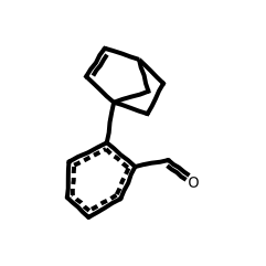 O=Cc1ccccc1C12C=CC(CC1)C2